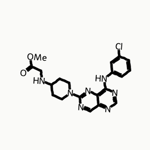 COC(=O)CNC1CCN(c2ncc3ncnc(Nc4cccc(Cl)c4)c3n2)CC1